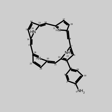 Nc1ccc(-c2cc3cc4nc(cc5ccc(cc6nc(cc2[nH]3)C=C6)[nH]5)C=C4)cc1